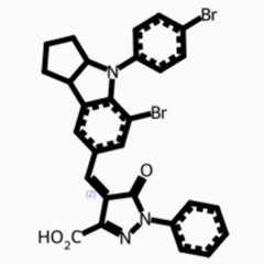 O=C(O)C1=NN(c2ccccc2)C(=O)/C1=C\c1cc(Br)c2c(c1)C1CCCC1N2c1ccc(Br)cc1